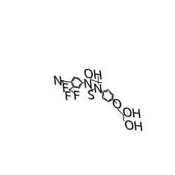 CC1(C)C(O)N(c2ccc(C#N)c(C(F)(F)F)c2)C(=S)N1c1ccc(OC[C@H](O)CO)cc1